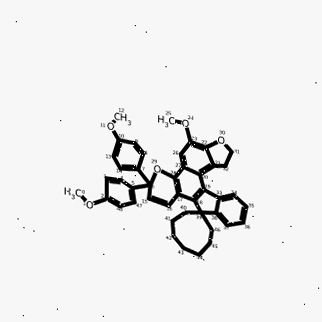 COc1ccc(C2(c3ccc(OC)cc3)C=Cc3c4c(c5c6c(c(OC)cc5c3O2)OCC6)-c2ccccc2C42CCCCCCC2)cc1